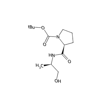 C[C@H](CO)NC(=O)[C@@H]1CCCN1C(=O)OC(C)(C)C